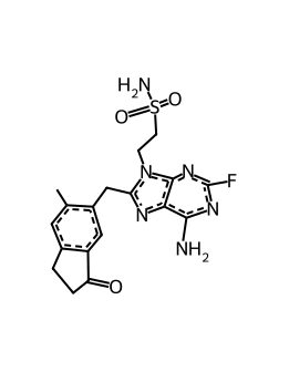 Cc1cc2c(cc1Cc1nc3c(N)nc(F)nc3n1CCS(N)(=O)=O)C(=O)CC2